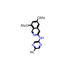 COc1cc(OC)c2cnc(Nc3cnc(C#N)cn3)cc2c1